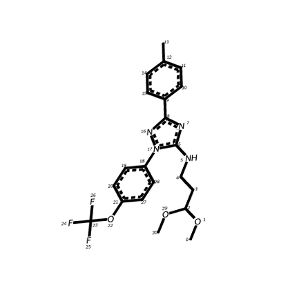 COC(CCNc1nc(-c2ccc(C)cc2)nn1-c1ccc(OC(F)(F)F)cc1)OC